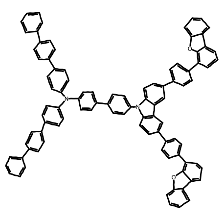 c1ccc(-c2ccc(-c3ccc(N(c4ccc(-c5ccc(-c6ccccc6)cc5)cc4)c4ccc(-c5ccc(-n6c7ccc(-c8ccc(-c9cccc%10c9oc9ccccc9%10)cc8)cc7c7cc(-c8ccc(-c9cccc%10c9oc9ccccc9%10)cc8)ccc76)cc5)cc4)cc3)cc2)cc1